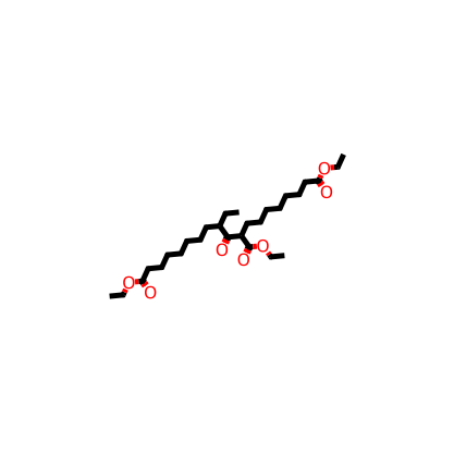 CCOC(=O)CCCCCCCC(CC)C(=O)C(CCCCCCCC(=O)OCC)C(=O)OCC